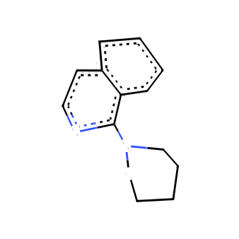 c1ccc2c(N3CCCCC3)nccc2c1